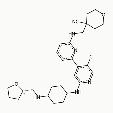 N#CC1(CNc2cccc(-c3cc(NC4CCC(NC[C@@H]5CCCO5)CC4)ncc3Cl)n2)CCOCC1